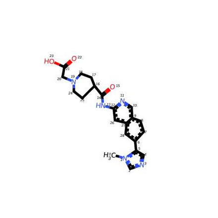 Cn1cncc1-c1ccc2cnc(NC(=O)C3CCN(CC(=O)O)CC3)cc2c1